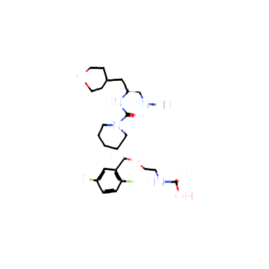 CNC[C@H](CC1CCOCC1)NC(=O)N1CCC[C@@H](C(OCCNC(=O)O)c2cc(F)ccc2F)C1